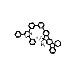 CC1(C)C2=CC3c4ccccc4C4(CCCCC4)C3C=C2c2ccc(-c3cccc(-c4cccc(-c5cc(-c6ccccc6)nc(-c6ccccc6)n5)c4)c3)cc21